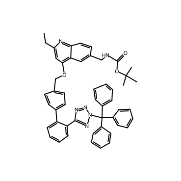 CCc1cc(OCc2ccc(-c3ccccc3-c3nnn(C(c4ccccc4)(c4ccccc4)c4ccccc4)n3)cc2)c2cc(CNC(=O)OC(C)(C)C)ccc2n1